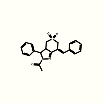 CC(=O)N1N=C2C(=Cc3ccccc3)CS(=O)(=O)CC2C1c1ccccc1